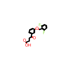 O=C(O)CCC(=O)c1cccc(OCc2c(F)cccc2F)c1